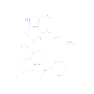 COCCNc1nc(Nc2ccc(C(=O)N3CCOCC3)c3c2OCCO3)nc2[nH]cc(C#N)c12